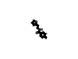 Cc1ccc(C(=O)NCCC2=CCCO2)cc1